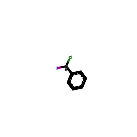 Cl[SiH](I)c1ccccc1